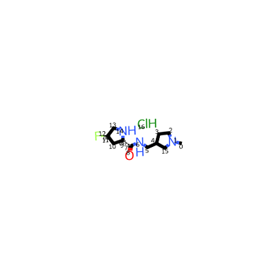 CN1CCC(CNC(=O)[C@@H]2C[C@@H](F)CN2)C1.Cl